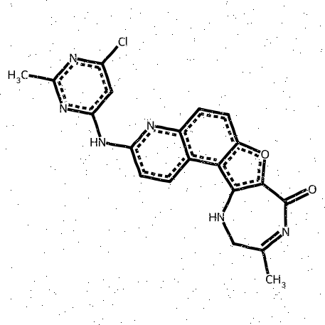 CC1=NC(=O)c2oc3ccc4nc(Nc5cc(Cl)nc(C)n5)ccc4c3c2NC1